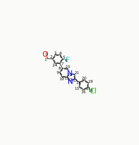 O=Cc1ccc(F)c(-c2ccc3nc(-c4ccc(Cl)cc4)cn3c2)c1